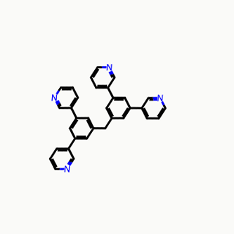 c1cncc(-c2cc(Cc3cc(-c4cccnc4)cc(-c4cccnc4)c3)cc(-c3cccnc3)c2)c1